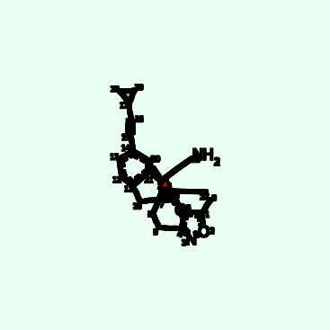 Cc1onc2c1CC1(CC2)Cc2ccc(C#CC3CC3)cc2C12N=C(N)N(C)C2=O